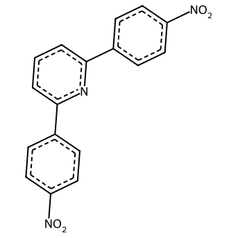 O=[N+]([O-])c1ccc(-c2cccc(-c3ccc([N+](=O)[O-])cc3)n2)cc1